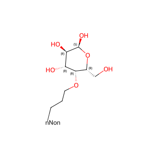 CCCCCCCCCCCCO[C@@H]1[C@H](O)[C@@H](O)[C@@H](O)O[C@@H]1CO